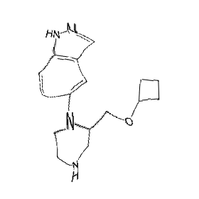 c1cc2[nH]ncc2cc1N1CCNCC1COC1CCC1